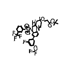 CC(C)(C)OC(=O)CCO[C@]1(C)CCN2c3ccc(-c4cc(F)cc(OC(F)F)c4)cc3N(S(=O)(=O)c3cccc(C(F)(F)F)c3)C[C@@H]2C1